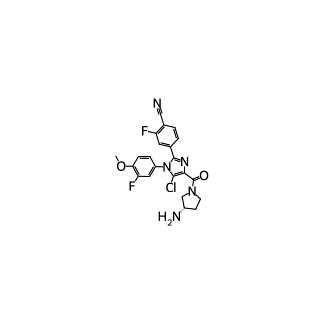 COc1ccc(-n2c(-c3ccc(C#N)c(F)c3)nc(C(=O)N3CC[C@H](N)C3)c2Cl)cc1F